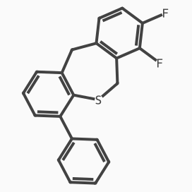 Fc1ccc2c(c1F)CSc1c(cccc1-c1ccccc1)C2